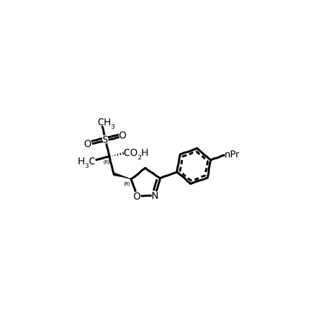 CCCc1ccc(C2=NO[C@@H](C[C@](C)(C(=O)O)S(C)(=O)=O)C2)cc1